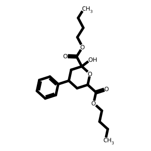 CCCCOC(=O)C1CC(c2ccccc2)CC(O)(C(=O)OCCCC)O1